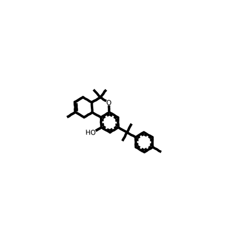 CC1=CCC2C(C1)c1c(O)cc(C(C)(C)c3ccc(C)cc3)cc1OC2(C)C